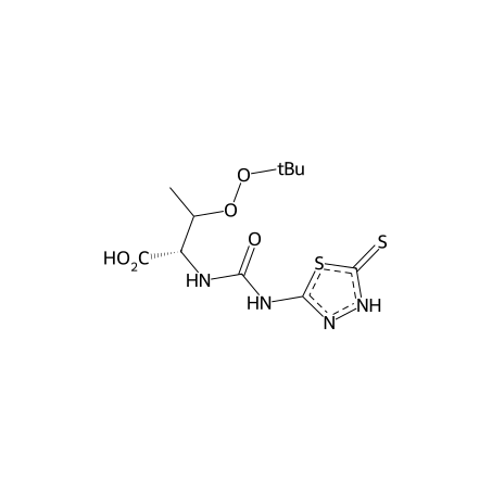 CC(OOC(C)(C)C)[C@H](NC(=O)Nc1n[nH]c(=S)s1)C(=O)O